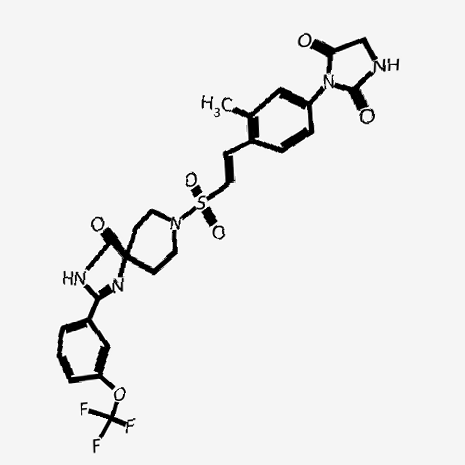 Cc1cc(N2C(=O)CNC2=O)ccc1C=CS(=O)(=O)N1CCC2(CC1)N=C(c1cccc(OC(F)(F)F)c1)NC2=O